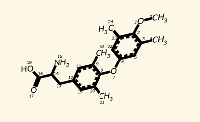 COc1c(C)cc(Oc2c(C)cc(CC(N)C(=O)O)cc2C)cc1C